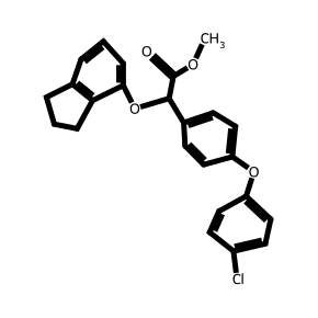 COC(=O)C(Oc1cccc2c1CCC2)c1ccc(Oc2ccc(Cl)cc2)cc1